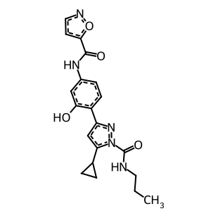 CCCNC(=O)n1nc(-c2ccc(NC(=O)c3ccno3)cc2O)cc1C1CC1